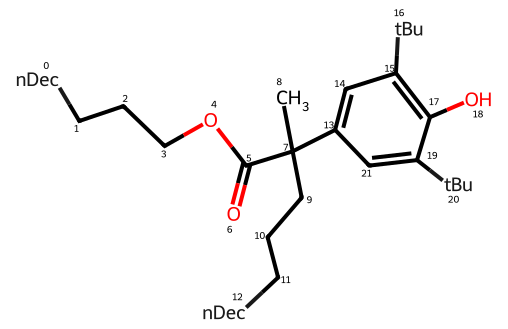 CCCCCCCCCCCCCOC(=O)C(C)(CCCCCCCCCCCCC)c1cc(C(C)(C)C)c(O)c(C(C)(C)C)c1